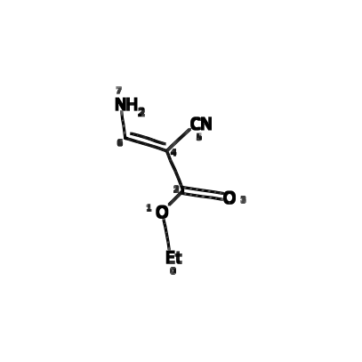 CCOC(=O)C(C#N)=CN